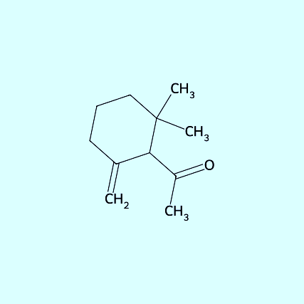 C=C1CCCC(C)(C)C1C(C)=O